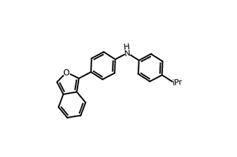 CC(C)c1ccc(Nc2ccc(-c3occ4ccccc34)cc2)cc1